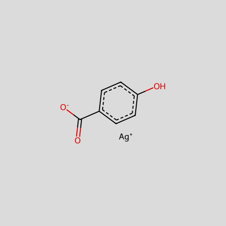 O=C([O-])c1ccc(O)cc1.[Ag+]